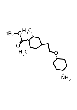 C[C@@H]1CC(CCO[C@H]2CC[C@H](N)CC2)C[C@H](C)N1C(=O)OC(C)(C)C